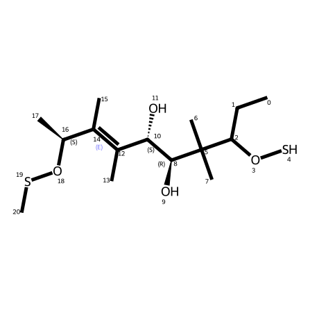 CCC(OS)C(C)(C)[C@@H](O)[C@@H](O)/C(C)=C(\C)[C@H](C)OSC